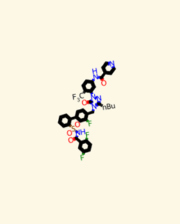 CCCCc1nn(-c2cc(NC(=O)c3ccncc3)ccc2C(F)(F)F)c(=O)n1Cc1ccc(-c2ccccc2S(=O)(=O)NC(=O)c2cc(F)ccc2F)cc1F